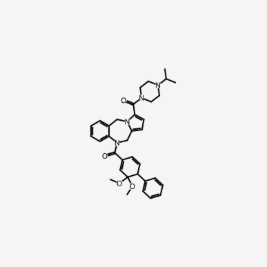 COC1(OC)C=C(C(=O)N2Cc3ccc(C(=O)N4CCN(C(C)C)CC4)n3Cc3ccccc32)C=CC1c1ccccc1